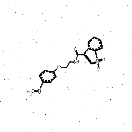 COc1ccc(OCCNC(=O)C2=CS(=O)(=O)c3ccccc32)cc1